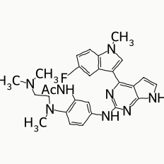 CC(=O)Nc1cc(Nc2nc(-c3cn(C)c4ccc(F)cc34)c3cc[nH]c3n2)ccc1N(C)CCN(C)C